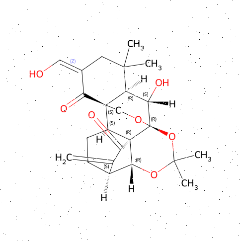 C=C1C(=O)[C@@]23[C@@H]4OC(C)(C)O[C@]25OC[C@]2(C(=O)/C(=C\O)CC(C)(C)[C@H]2[C@@H]5O)[C@@H]3CC[C@@H]14